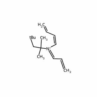 C=C/C=C\[N+](=C/C=C)C(C)(C)CC(C)(C)C